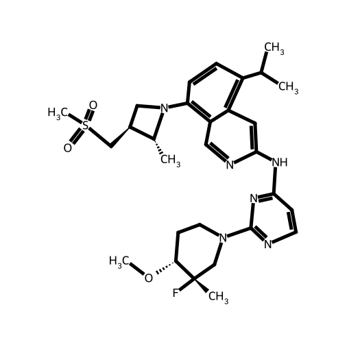 CO[C@@H]1CCN(c2nccc(Nc3cc4c(C(C)C)ccc(N5C[C@H](CS(C)(=O)=O)[C@H]5C)c4cn3)n2)C[C@]1(C)F